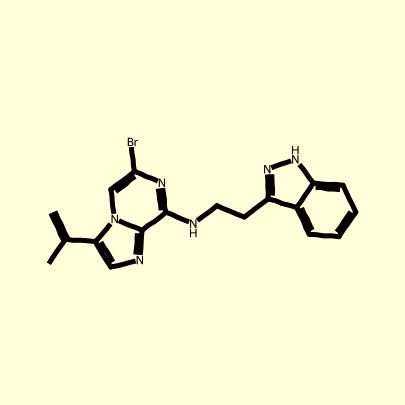 C=C(C)c1cnc2c(NCCc3n[nH]c4ccccc34)nc(Br)cn12